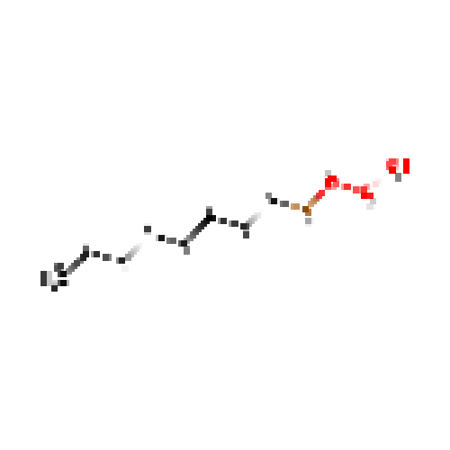 CCCCCCCCSOOO